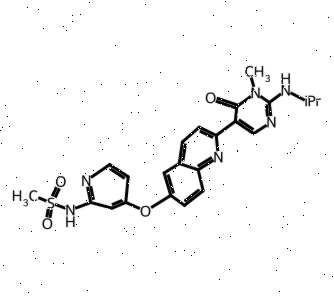 CC(C)Nc1ncc(-c2ccc3cc(Oc4ccnc(NS(C)(=O)=O)c4)ccc3n2)c(=O)n1C